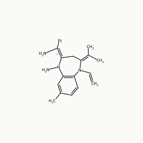 C=CN1C(=C(C)C)C/C(=C(/N)CC)N(N)c2cc(C)ccc21